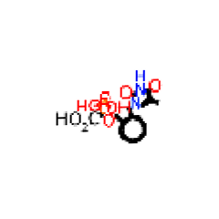 Cc1cn(CC2CCCCCCCC2COC(C(=O)O)P(=O)(O)O)c(=O)[nH]c1=O